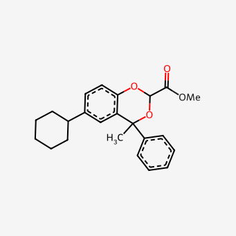 COC(=O)C1Oc2ccc(C3CCCCC3)cc2C(C)(c2ccccc2)O1